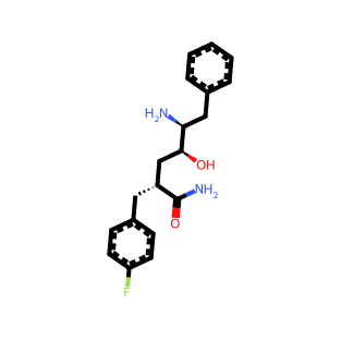 NC(=O)[C@H](Cc1ccc(F)cc1)C[C@H](O)[C@@H](N)Cc1ccccc1